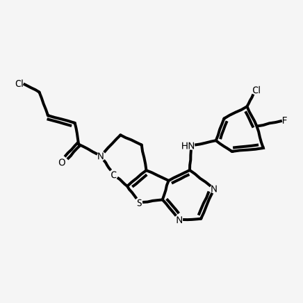 O=C(/C=C/CCl)N1CCc2c(sc3ncnc(Nc4ccc(F)c(Cl)c4)c23)C1